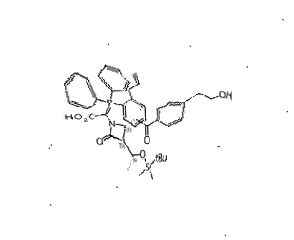 C=CCc1ccccc1P(=C(C(=O)O)N1C(=O)[C@H]([C@@H](C)O[Si](C)(C)C(C)(C)C)[C@H]1CC(=O)c1ccc(CCO)cc1)(c1ccccc1)c1ccccc1